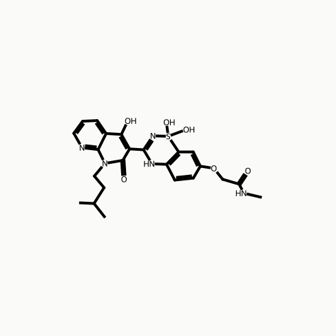 CNC(=O)COc1ccc2c(c1)S(O)(O)N=C(c1c(O)c3cccnc3n(CCC(C)C)c1=O)N2